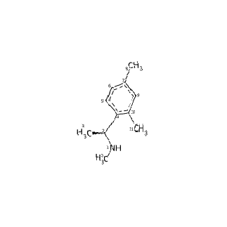 CN[C@@H](C)c1ccc(C)cc1C